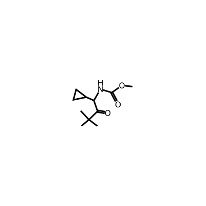 COC(=O)NC(C(=O)C(C)(C)C)C1CC1